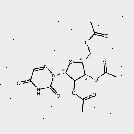 CC(=O)OC[C@H]1O[C@@H](n2ncc(=O)[nH]c2=O)C(OC(C)=O)[C@H]1OC(C)=O